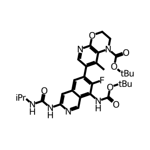 Cc1c(-c2cc3cc(NC(=O)NC(C)C)ncc3c(NC(=O)OC(C)(C)C)c2F)cnc2c1N(C(=O)OC(C)(C)C)CCO2